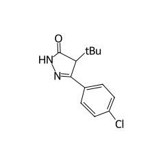 CC(C)(C)C1C(=O)NN=C1c1ccc(Cl)cc1